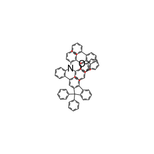 c1ccc(-c2cccc3cccc(-c4ccccc4N(c4ccccc4-c4ccc5c(c4)C(c4ccccc4)(c4ccccc4)c4ccccc4-5)c4cccc5c4oc4ccccc45)c23)cc1